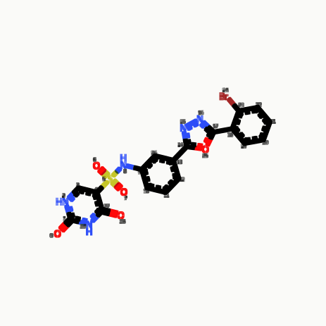 O=c1[nH]cc(S(=O)(=O)Nc2cccc(-c3nnc(-c4ccccc4Br)o3)c2)c(=O)[nH]1